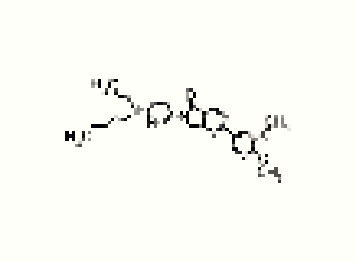 CCCCCN(CCC)c1ccc(N2Cc3nc(-c4cnc(OC)c(OC)c4)ccc3C2=O)cn1